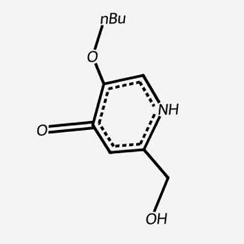 CCCCOc1c[nH]c(CO)cc1=O